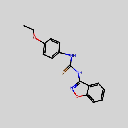 CCOc1ccc(NC(=S)Nc2noc3ccccc23)cc1